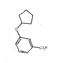 O=C(O)c1cccc(OC2CCCC2)c1